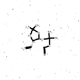 C=C[C@H]1COC(C)(C)N1.CC(C)(C)OC=O